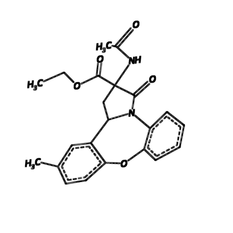 CCOC(=O)C1(NC(C)=O)CC2c3cc(C)ccc3Oc3ccccc3N2C1=O